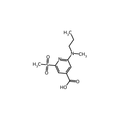 CCCN(C)c1cc(C(=O)O)cc(S(C)(=O)=O)n1